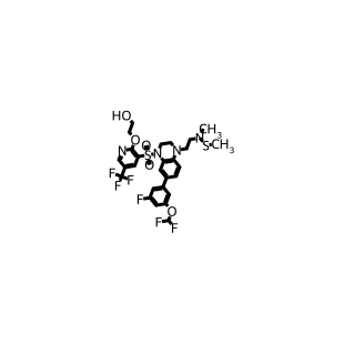 CSN(C)CCN1CCN(S(=O)(=O)c2cc(C(F)(F)F)cnc2OCCO)c2cc(-c3cc(F)cc(OC(F)F)c3)ccc21